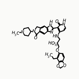 CCc1c(OC[C@H](O)CNc2cc[nH]c(=O)c2-c2nc3cc4c(cc3[nH]2)CN(C2CCN(C)CC2)C4=O)ccc2c1OCO2